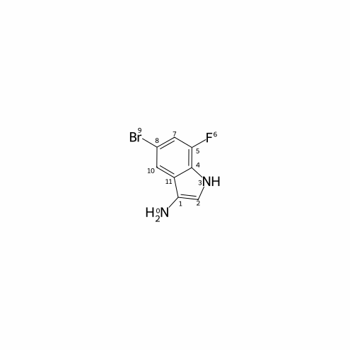 Nc1c[nH]c2c(F)cc(Br)cc12